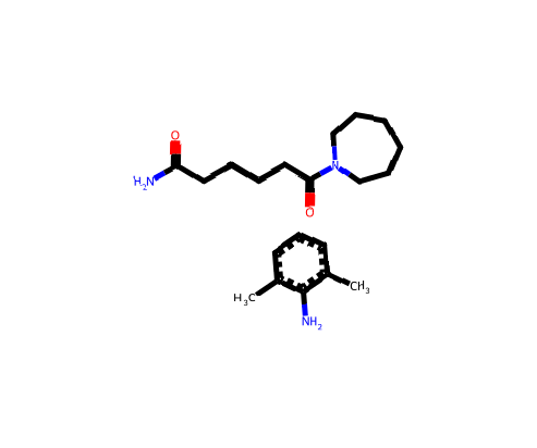 Cc1cccc(C)c1N.NC(=O)CCCCC(=O)N1CCCCCC1